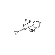 OC(C#CC1CC1)(c1ccccc1)C(F)(F)F